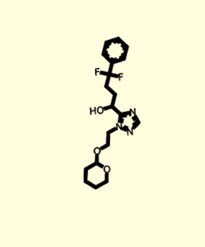 OC(CCC(F)(F)c1ccccc1)c1ncnn1CCOC1CCCCO1